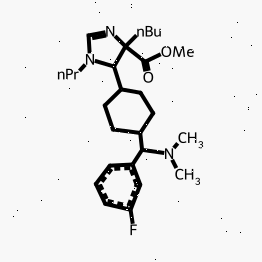 CCCCC1(C(=O)OC)N=CN(CCC)C1C1CCC(C(c2cccc(F)c2)N(C)C)CC1